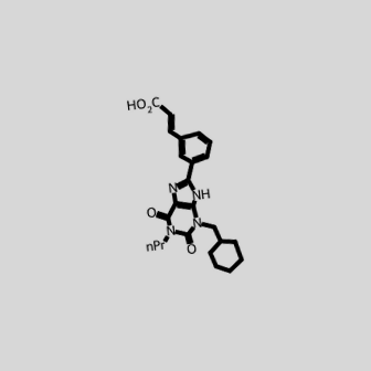 CCCn1c(=O)c2nc(-c3cccc(C=CC(=O)O)c3)[nH]c2n(CC2CCCCC2)c1=O